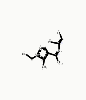 CC/C=C(/N=C(/C)c1cnn(CC(C)CC)c1C)C(C)C